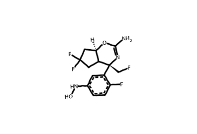 NC1=N[C@](CF)(c2cc(NO)ccc2F)C2CC(F)(F)C[C@H]2O1